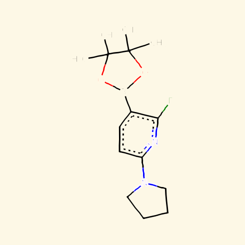 CC1(C)OB(c2ccc(N3CCCC3)nc2F)OC1(C)C